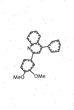 COc1ccc(-c2cc(-c3ccccc3)c3ccccc3n2)cc1OC